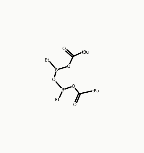 CCB(OB(CC)OC(=O)C(C)(C)C)OC(=O)C(C)(C)C